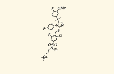 COc1cc(C(C)(C)C2CN=C(SCc3c(F)cc(S(=O)(=O)N(CCC[N+](C)(C)C)C(C)C)cc3Cl)N2c2ccc(F)cc2)ccc1F